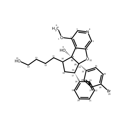 COc1cncc2c1[C@]1(O)C(CCCCO)C[C@@H](c3ccccc3)[C@]1(c1ccc(Br)cc1)O2